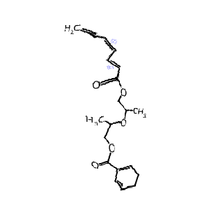 C=C/C=C\C=C\C(=O)OCC(C)OC(C)COC(=O)C1=CCCC=C1